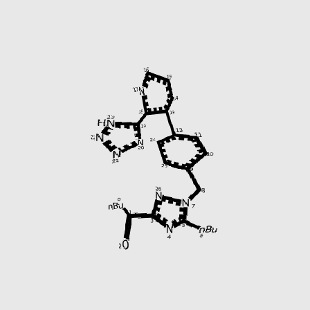 CCCCC(=O)c1nc(CCCC)n(Cc2ccc(-c3cccnc3-c3nnn[nH]3)cc2)n1